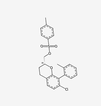 Cc1ccc(S(=O)(=O)OC[C@H]2CCc3ccc(Cl)c(-c4ccccc4C)c3O2)cc1